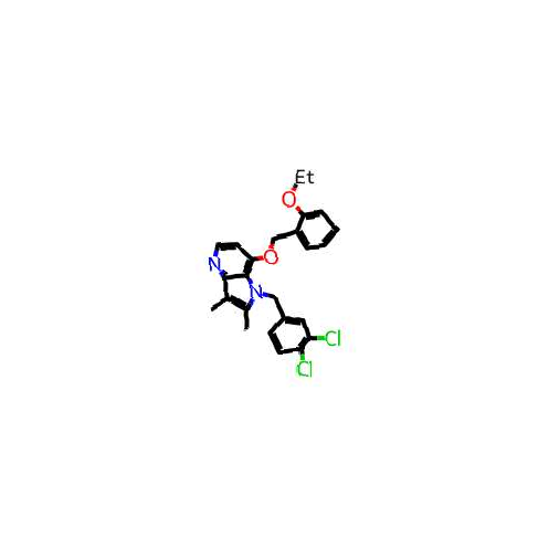 CCOc1ccccc1COc1ccnc2c(C)c(C)n(Cc3ccc(Cl)c(Cl)c3)c12